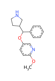 COc1ccc(OC(c2ccccc2)C2CCNC2)cn1